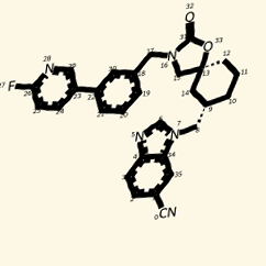 N#Cc1ccc2ncn(C[C@H]3CCC[C@]4(C3)CN(Cc3cccc(-c5ccc(F)nc5)c3)C(=O)O4)c2c1